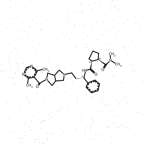 Cc1ncnc(C)c1C(=O)N1CC2CN(CC[C@H](NC(=O)[C@H]3CCC[C@H]3C(=O)N(C)C)c3ccccc3)CC2C1